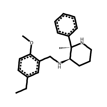 CCc1ccc(OC)c(CN[C@@H]2CCCN[C@]2(C)c2ccccc2)c1